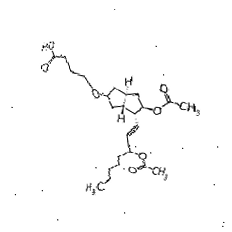 CCCCCC(C=C[C@@H]1[C@@H]2CC(OCCCC(=O)O)C[C@H]2C[C@H]1OC(C)=O)OC(C)=O